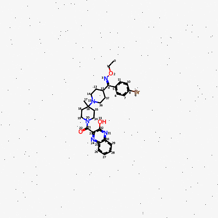 CCO/N=C(\c1ccc(Br)cc1)C1CCN(C2(C)CCN(C(=O)c3nc4ccccc4nc3O)CC2)CC1